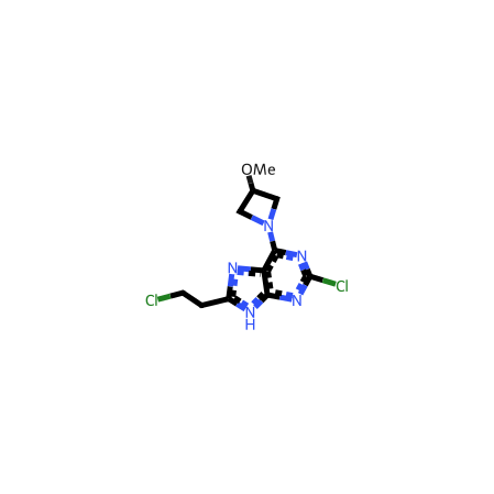 COC1CN(c2nc(Cl)nc3[nH]c(CCCl)nc23)C1